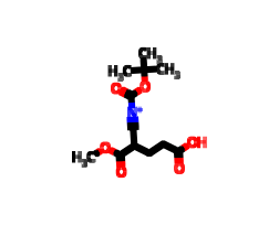 COC(=O)C(C#[N+]C(=O)OC(C)(C)C)CCC(=O)O